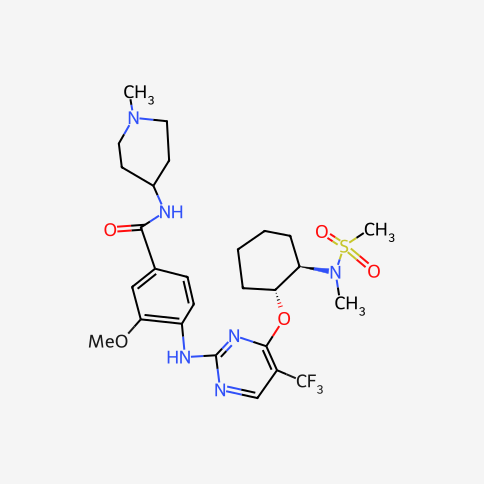 COc1cc(C(=O)NC2CCN(C)CC2)ccc1Nc1ncc(C(F)(F)F)c(O[C@@H]2CCCC[C@H]2N(C)S(C)(=O)=O)n1